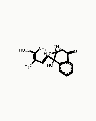 CC(C=C[C@@]1(O)c2ccccc2C(=O)CC1(C)C)=C(C)C(=O)O